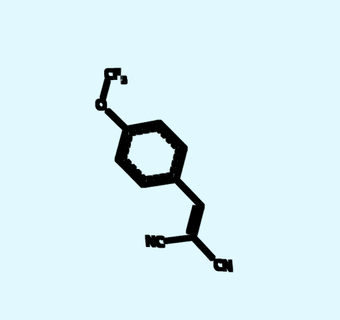 N#CC(C#N)=Cc1ccc(OC(F)(F)F)cc1